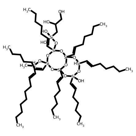 CCCCC/C=C\[Si]1(O[SiH](C)/C=C/CCCCCCC)O[Si](/C=C/CCCCC)(O[Si](O)(O)CC(O)CO)O[Si]2(/C=C/CCCCC)O[SiH](/C=C/CCCCC)O[Si](O)(/C=C/CCCCC)O[Si](/C=C/CCCCC)(O1)O2